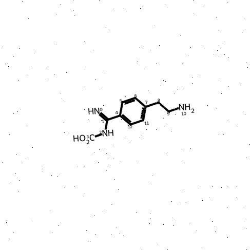 N=C(NC(=O)O)c1ccc(CCN)cc1